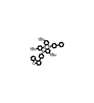 CC(C)(C)c1ccc2c(c1)B1c3ccc(C(C)(C)C)cc3N(c3ccc(-c4cccc5oc6ccccc6c45)cc3)c3cc(C(C)(C)C)cc(c31)N2c1ccc(-c2ccccc2)cc1